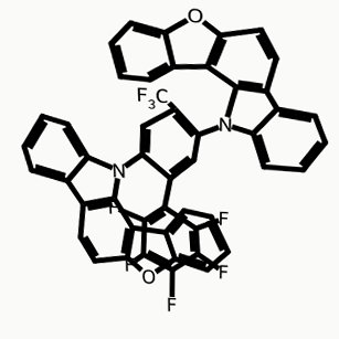 Fc1c(F)c(F)c(-c2cc(-n3c4ccccc4c4ccc5oc6ccccc6c5c43)c(C(F)(F)F)cc2-n2c3ccccc3c3ccc4oc5ccccc5c4c32)c(F)c1F